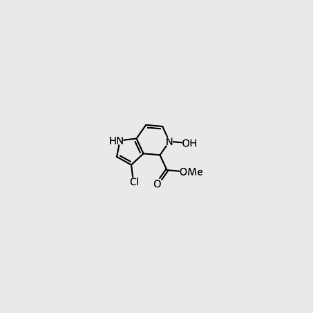 COC(=O)C1c2c(Cl)c[nH]c2C=CN1O